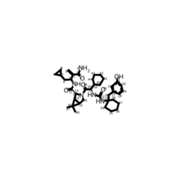 C=C(C(N)=O)C(CC1CC1)NC(=O)[C@@H]1C2C(CN1C(=O)[C@@H](NC(=O)NC1(Cc3cccc(O)c3)CCCCC1)C1CCCCC1)C2(C)C